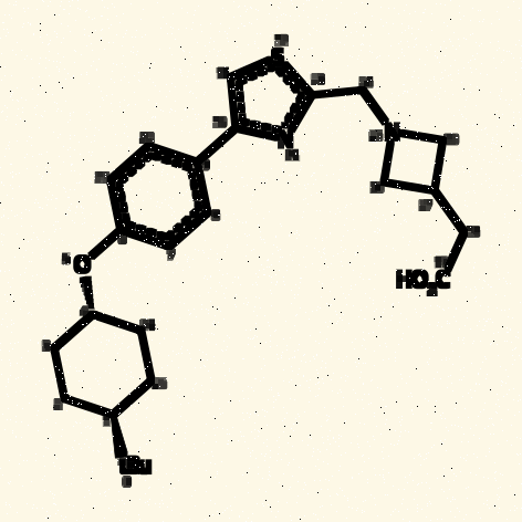 CC(C)(C)[C@H]1CC[C@H](Oc2ccc(-c3csc(CN4CC(CC(=O)O)C4)n3)cc2)CC1